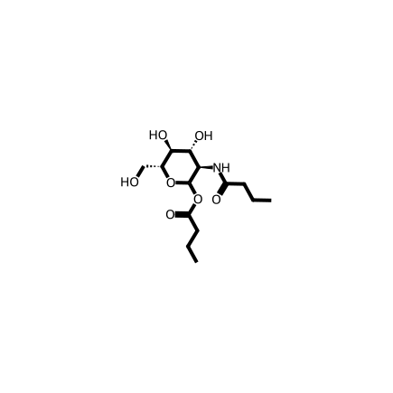 CCCC(=O)N[C@H]1C(OC(=O)CCC)O[C@H](CO)[C@@H](O)[C@@H]1O